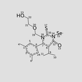 Cc1cc(C)cc(-c2c(C(C)C)c(=O)n([Se])c(=S)n2COCCO)c1